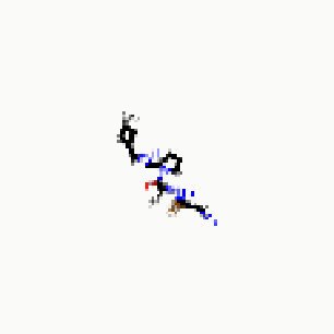 CCCCC1CC(CNCC2CCCN2C(=O)[C@@H](NC(=S)CN)C(C)(C)C)C1